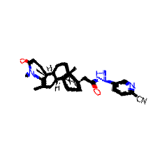 CC1=C2N(C)C(=O)CC[C@]2(C)[C@H]2CC[C@]3(C)[C@@H](CC(=O)Nc4ccc(C#N)nc4)CC[C@H]3[C@@H]2C1